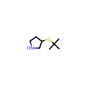 CC(C)(C)SC1CCNC1